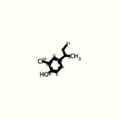 CC(CI)c1ccc(O)c(Cl)c1